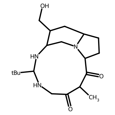 CC1C(=O)CNC(C(C)(C)C)NC2CN3C(CCC3C1=O)CC2CO